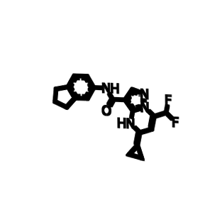 O=C(Nc1ccc2c(c1)CCC2)c1cnn2c1NC(=C1CC1)C=C2C(F)F